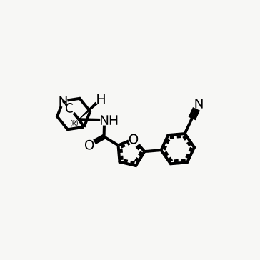 N#Cc1cccc(-c2ccc(C(=O)N[C@H]3CN4CCC3CC4)o2)c1